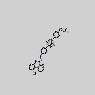 N=C(/N=C\Nc1ccc(OC(F)(F)F)cc1)c1ccc(/C=N/N=C2\SCCCN2c2c(F)cccc2Cl)cc1